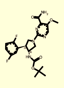 COc1cnc(N2C[C@H](NC(=O)OC(C)(C)C)[C@@H](c3cc(F)ccc3F)C2)nc1C(N)=O